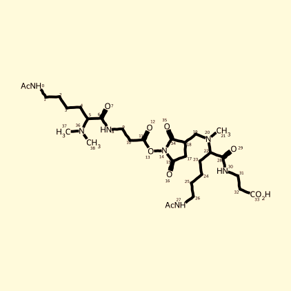 CC(=O)NCCCCC(C(=O)NCCC(=O)ON1C(=O)CC(CN(C)C(CCCCNC(C)=O)C(=O)NCCC(=O)O)C1=O)N(C)C